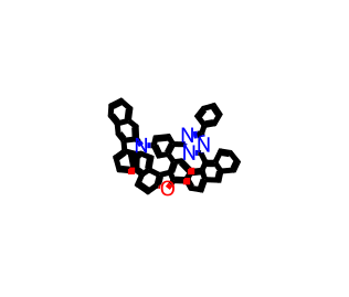 c1ccc(-c2nc(-c3ccc(-n4c5ccccc5c5cc6ccccc6cc54)cc3-c3cccc4oc5ccc6ccccc6c5c34)nc(-c3c4ccccc4cc4ccccc34)n2)cc1